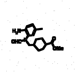 COC(=O)C1CCC(CN(C=O)c2cc(C)ccc2N)CC1